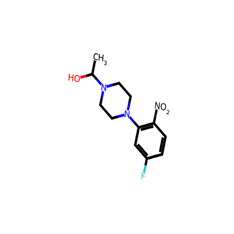 CC(O)N1CCN(c2cc(F)ccc2[N+](=O)[O-])CC1